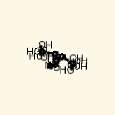 O=C(c1ccn[nH]1)N1CCC2(CC1)c1cc(C#C[C@H]3O[C@H](CO)[C@@H](O)[C@H](O)[C@@H]3O)ccc1-c1ccc(C#C[C@H]3O[C@H](CO)[C@@H](O)[C@H](O)[C@@H]3O)cc12